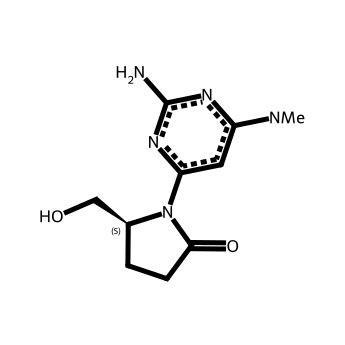 CNc1cc(N2C(=O)CC[C@H]2CO)nc(N)n1